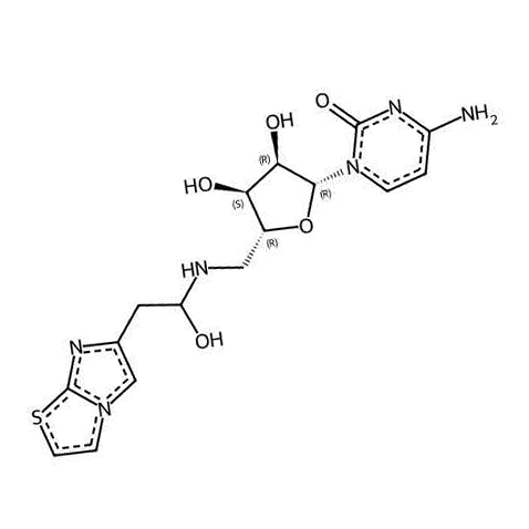 Nc1ccn([C@@H]2O[C@H](CNC(O)Cc3cn4ccsc4n3)[C@@H](O)[C@H]2O)c(=O)n1